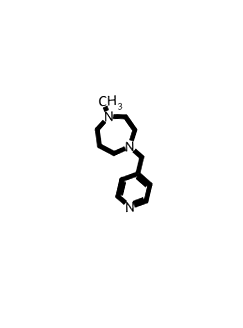 CN1CCCN(Cc2ccncc2)CC1